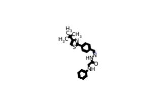 CC(C)(C)c1csc(-c2ccc(/C=N\NC(=O)CNc3ccccc3)cc2)n1